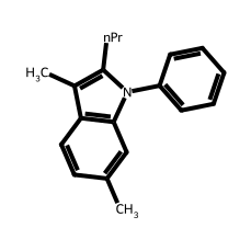 CCCc1c(C)c2ccc(C)cc2n1-c1ccccc1